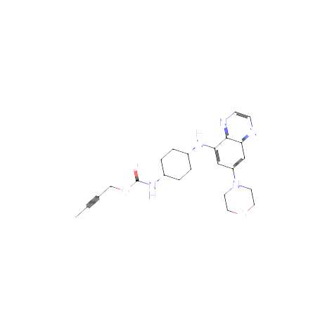 CC#CCOC(=O)N[C@H]1CC[C@@H](Nc2cc(N3CCOCC3)cc3nccnc23)CC1